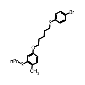 CCCSc1cc(OCCCCCSc2ccc(Br)cc2)ccc1C